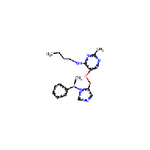 CCCCNc1nc(C)ncc1OCc1cncn1[C@H](C)c1ccccc1